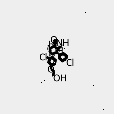 C[C@@H]1C[C@@H](c2ccc(OCCO)cc2Cl)[C@H](c2ccc(Cl)cc2)[C@H]2[C@@H]1C(=O)N[C@@H]2C